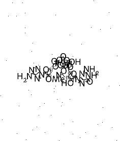 CO[C@@H]1C[C@@H](COP(=O)(O)OP(=O)(O)OP(=O)(O)OC[C@H]2O[C@@H](n3c[n+](C)c4c(=O)[nH]c(N)nc43)[C@H](O)[C@@H]2CC(=O)N(C)C)O[C@H]1n1cnc2c(N)ncnc21